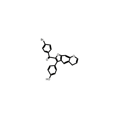 O=C(c1ccc(Br)cc1)c1oc2cc3c(cc2c1-c1ccc(O)cc1)CC=CO3